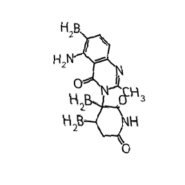 Bc1ccc2nc(C)n(C3(B)C(=O)NC(=O)CC3B)c(=O)c2c1N